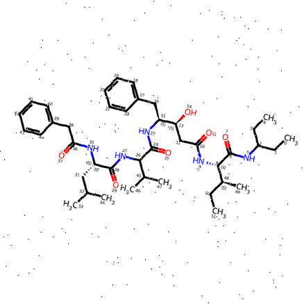 CCC(CC)NC(=O)[C@@H](NC(=O)C[C@H](O)[C@H](Cc1ccccc1)NC(=O)C(NC(=O)[C@H](CC(C)C)NC(=O)Cc1ccccc1)C(C)C)[C@@H](C)CC